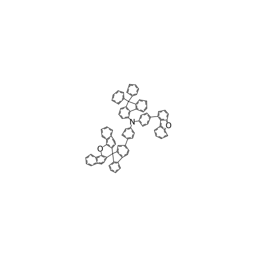 c1ccc(C2(c3ccccc3)c3ccccc3-c3c(N(c4ccc(-c5ccc6c(c5)C5(c7ccccc7-6)c6ccc7ccccc7c6Oc6c5ccc5ccccc65)cc4)c4ccc(-c5cccc6oc7ccccc7c56)cc4)cccc32)cc1